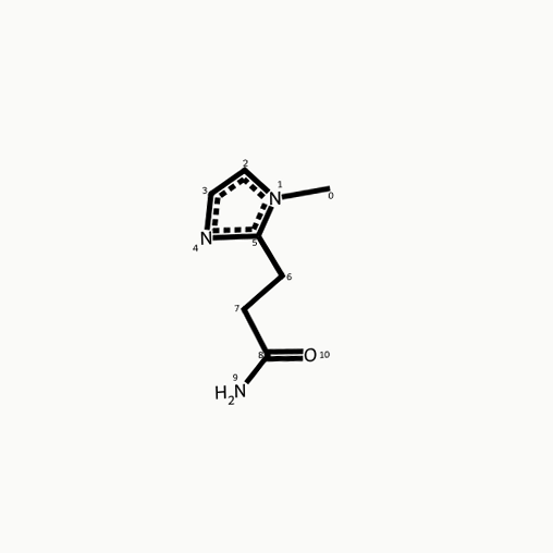 Cn1ccnc1CCC(N)=O